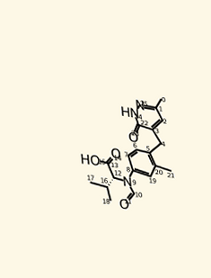 Cc1cc(Cc2ccc(N(C=O)[C@@H](C(=O)O)C(C)C)cc2C)c(=O)[nH]n1